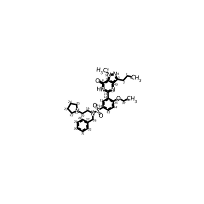 CCCc1nn(C)c2c(=O)[nH]c(-c3cc(S(=O)(=O)N(CCN4CCCC4)Cc4ccccc4)ccc3OCC)nc12